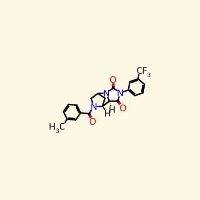 Cc1cccc(C(=O)N2CC3C[C@@H]2[C@@H]2C(=O)N(c4cccc(C(F)(F)F)c4)C(=O)N32)c1